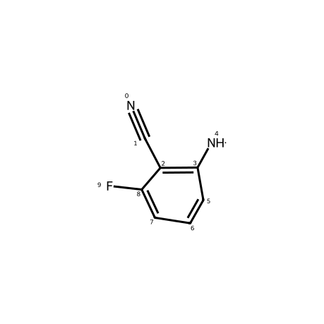 N#Cc1c([NH])cccc1F